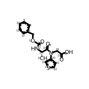 C[C@H](NC(=O)OCc1ccccc1)C(=O)N(CC(=O)O)c1ccsc1